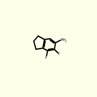 Nc1cc2c(c(F)c1F)CCC2